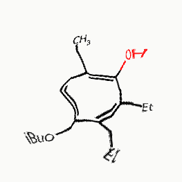 CCc1c(OCC(C)C)cc(C)c(O)c1CC